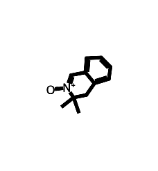 CC1(C)Cc2ccccc2C=[N+]1[O-]